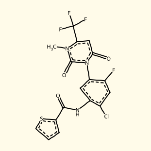 Cn1c(C(F)(F)F)cc(=O)n(-c2cc(NC(=O)c3cccs3)c(Cl)cc2F)c1=O